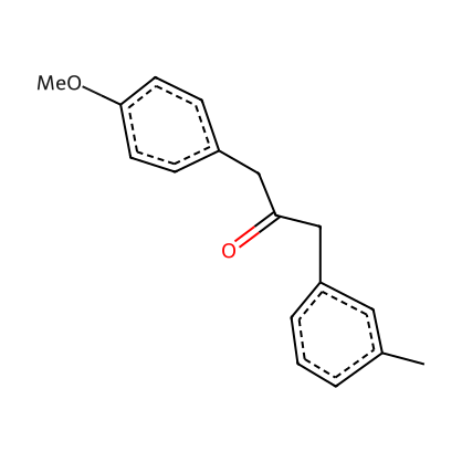 COc1ccc(CC(=O)Cc2cccc(C)c2)cc1